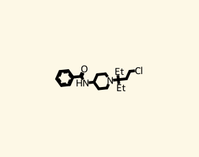 CCC(CC)(CCCl)N1CCC(NC(=O)c2ccccc2)CC1